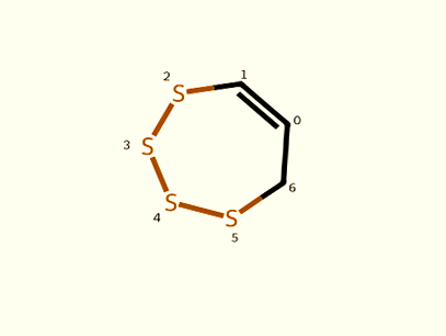 C1=CSSSSC1